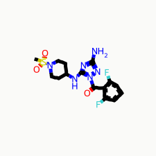 CS(=O)(=O)N1CCC(Nc2nc(N)nn2C(=O)c2c(F)cccc2F)CC1